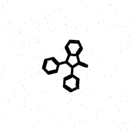 O=C1c2ccccc2C(c2ccccc2)C1c1cccnc1